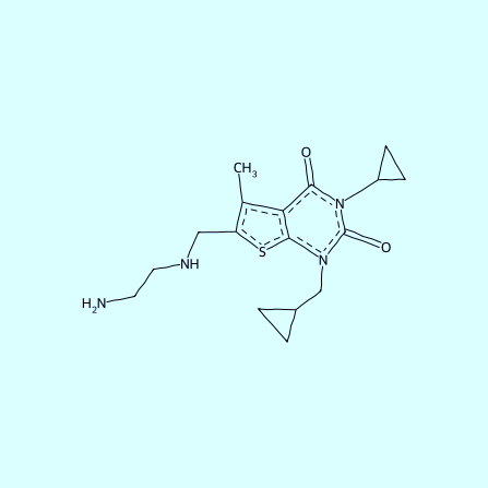 Cc1c(CNCCN)sc2c1c(=O)n(C1CC1)c(=O)n2CC1CC1